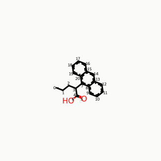 [CH2]CCC(C(=O)O)c1c2ccccc2cc2ccccc12